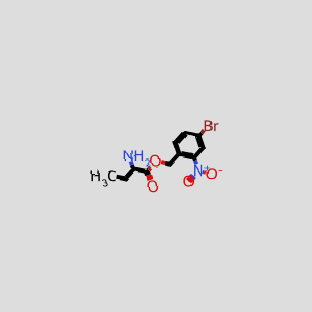 CCC(N)C(=O)OCc1ccc(Br)cc1[N+](=O)[O-]